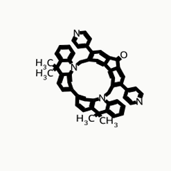 CC1(C)c2ccccc2N2Cc3cc4c(cc3-c3ccncc3)C(=O)c3cc(-c5ccncc5)c(cc3-4)CN3c4ccccc4C(C)(C)c4ccc(cc43)-c3ccc1c2c3